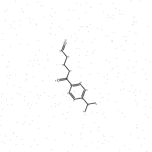 CC(C)c1ccc(C(=O)CCCC=O)cc1